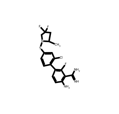 CC1CC(F)(F)CN1Sc1ccc(-c2ccc(N)c(C(=N)N)c2F)c(Cl)c1